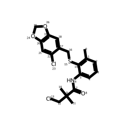 Cc1cccc(NC(=O)C(C)(C)CCl)c1SCc1cc2c(cc1Cl)OCO2